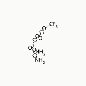 Nc1ccc(COC(=O)/C=C/c2ccc(OC(=O)c3ccc(OCCCC(F)(F)F)cc3)cc2)c(N)c1